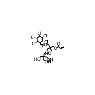 C=CC(=O)OCC(CO)(CO)COCC(CO)(CO)CO.Cl[C@H]1[C@H](Cl)[C@@H](Cl)[C@@H](Cl)[C@H](Cl)[C@H]1Cl